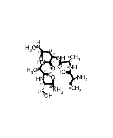 CC[C@H](N)C(=O)N[C@@H](C)C(=O)NC(CC(=O)NC)C(=O)N[C@@H](C)C(=O)N[C@@H](CO)C(N)=O